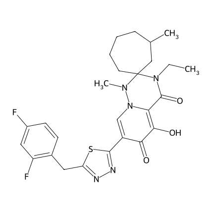 CCN1C(=O)c2c(O)c(=O)c(-c3nnc(Cc4ccc(F)cc4F)s3)cn2N(C)C12CCCCC(C)C2